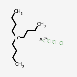 CCC[CH2][Ti+]([CH2]CCC)[CH2]CCC.[Al+3].[Cl-].[Cl-].[Cl-].[Cl-]